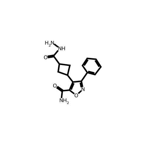 NNC(=O)C1CC(c2c(-c3ccccc3)noc2C(N)=O)C1